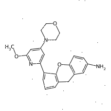 COc1cc(N2CCOCC2)cc(-c2cccc3c2Oc2ccc(N)cc2C3)n1